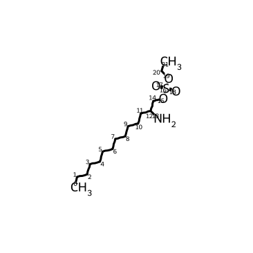 CCCCCCCCCCCCC(N)COS(=O)(=O)OCC